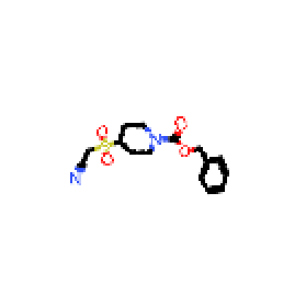 N#CCS(=O)(=O)C1CCN(C(=O)OCc2ccccc2)CC1